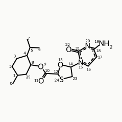 CC1CCC(C(C)C)C(OC(=O)C2OC(n3ccc(N)nc3=O)CS2)C1